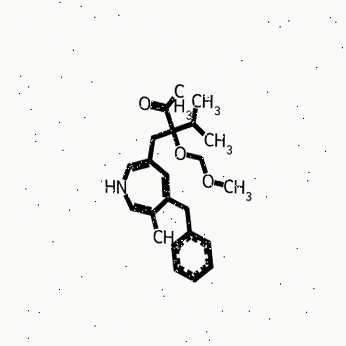 COCOC(CC1=CNC=C(C)C(Cc2ccccc2)=C1)(C(C)=O)C(C)C